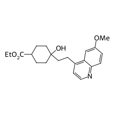 CCOC(=O)C1CCC(O)(CCc2ccnc3ccc(OC)cc23)CC1